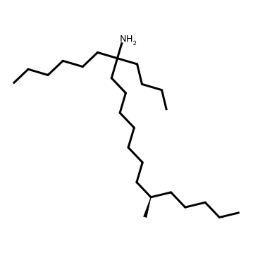 CCCCCCC(N)(CCCC)CCCCCCC[C@H](C)CCCCC